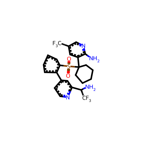 Nc1ncc(C(F)(F)F)cc1C1(S(=O)(=O)c2ccccc2-c2ccnc(C(N)C(F)(F)F)c2)CCCCC1